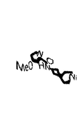 COc1ccnc(C(=O)NC2CC3(CCNCC3)C2)c1